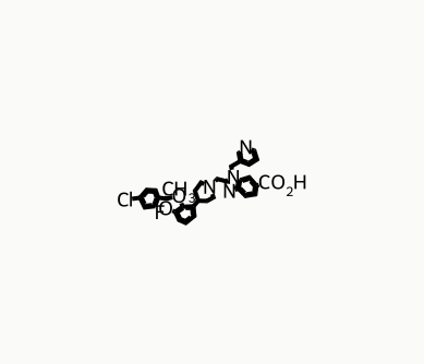 CC1(c2ccc(Cl)cc2F)Oc2cccc(C3CCN(Cc4nc5ccc(C(=O)O)cc5n4Cc4cccnc4)CC3)c2O1